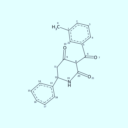 Cc1cccc(C(=O)C2C(=O)CC(c3ccccc3)NC2=O)c1